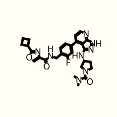 CN(C)C(=O)N1CC[C@@H](Nc2n[nH]c3nccc(-c4ccc(CNC(=O)c5coc(C6CCC6)n5)c(F)c4)c23)C1